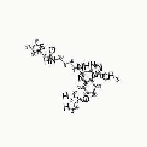 Cc1nnc2c(NCCCCNC(=O)Cc3cccs3)nc3cc(OC(C)C)ccc3n12